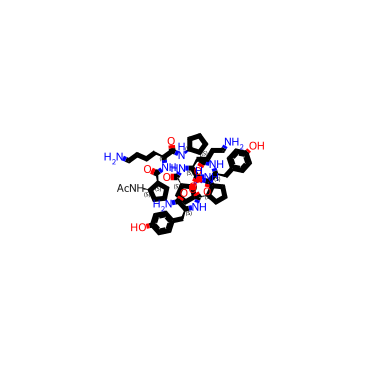 CC(=O)N[C@H]1CCC[C@@H]1C(=O)N[C@@H](CCCCN)C(=O)N[C@H]1CCC[C@@H]1C(=O)N[C@@H](Cc1ccc(O)cc1)C(=O)N[C@H]1CCC[C@@H]1C(=O)N[C@@H](CCCCN)C(=O)NC1CCC[C@@H]1C(=O)N[C@@H](Cc1ccc(O)cc1)C(N)=O